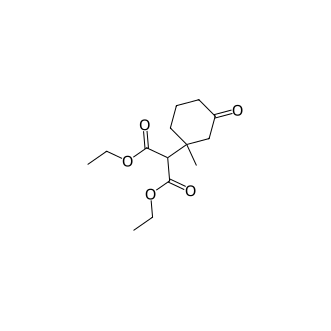 CCOC(=O)C(C(=O)OCC)C1(C)CCCC(=O)C1